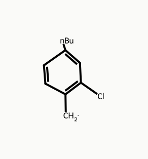 [CH2]c1ccc(CCCC)cc1Cl